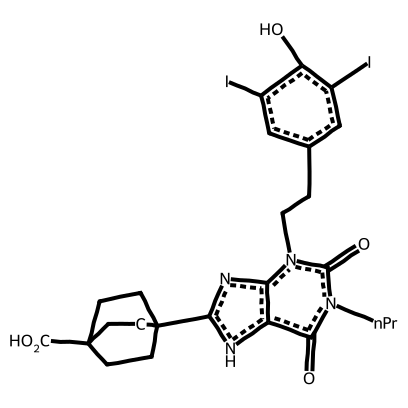 CCCn1c(=O)c2[nH]c(C34CCC(C(=O)O)(CC3)CC4)nc2n(CCc2cc(I)c(O)c(I)c2)c1=O